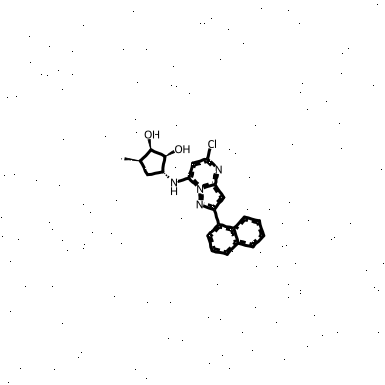 [CH2][C@@H]1C[C@@H](Nc2cc(Cl)nc3cc(-c4cccc5ccccc45)nn23)[C@H](O)[C@@H]1O